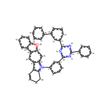 C1=Cc2c(n(-c3cccc(-c4nc(-c5ccccc5)nc(-c5cccc(-c6ccccc6)c5)n4)c3)c3cc4oc5ccccc5c4cc23)CC1